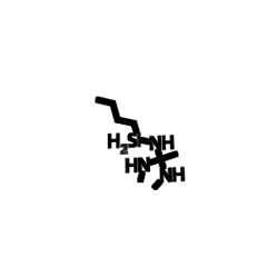 CCCC[SiH2]NC(C)(NC)NC